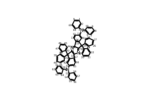 c1ccc(N(c2ccccc2)c2ccc3c(c2)C(c2ccccc2)(c2ccccc2)c2nc4c(nc2-3)C(c2ccccc2)(c2ccccc2)c2cc(N(c3ccccc3)c3ccccc3)ccc2-4)cc1